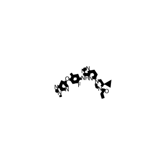 C=CC(=O)N1CCN(c2ccc3ncnc(Nc4cc(C)c(Oc5cnc6c(c5)ncn6C)cc4F)c3n2)C[C@H]1C1CC1